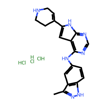 Cc1n[nH]c2ccc(Nc3ncnc4[nH]c(C5=CCNCC5)cc34)cc12.Cl.Cl.Cl